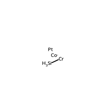 [Co].[Pt].[SiH3][Cr]